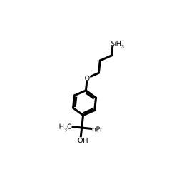 CCCC(C)(O)c1ccc(OCCC[SiH3])cc1